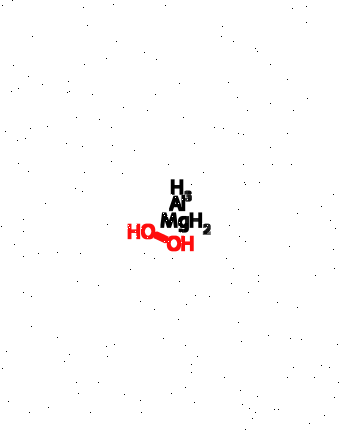 OO.[AlH3].[MgH2]